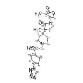 CC1=C(N2CCC(C)(C3CCN(C[C@H](O)c4ccc(-n5cnnn5)cc4)CC3)C2=O)COC1=O